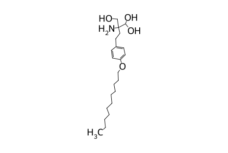 CCCCCCCCCCCOc1ccc(CCC(N)(CO)C(O)O)cc1